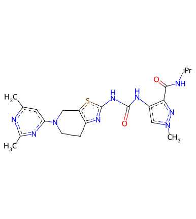 Cc1cc(N2CCc3nc(NC(=O)Nc4cn(C)nc4C(=O)NC(C)C)sc3C2)nc(C)n1